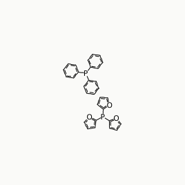 c1ccc(P(c2ccccc2)c2ccccc2)cc1.c1coc(P(c2ccco2)c2ccco2)c1